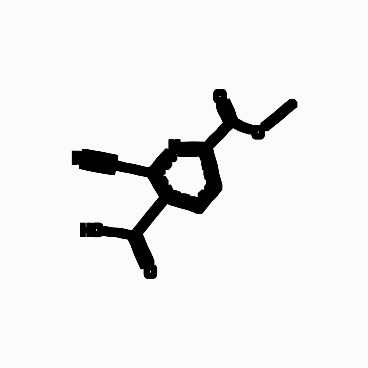 COC(=O)c1ccc(C(=O)O)c(C#N)n1